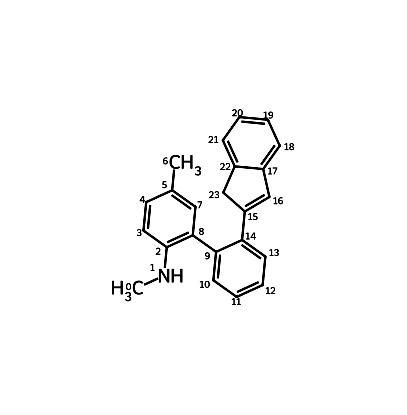 CNc1ccc(C)cc1-c1ccccc1C1=Cc2ccccc2C1